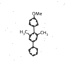 COc1ccc(-c2c(C)cc(-c3ccccc3)cc2C)cc1